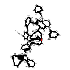 c1ccc(N2CCN(c3ccccc3)c3cc4c(cc32)-c2ccccc2-c2cccc(-n3c5ccccc5c5cc(-n6c7ccccc7c7ccccc76)ccc53)c2-c2ccccc2-4)cc1